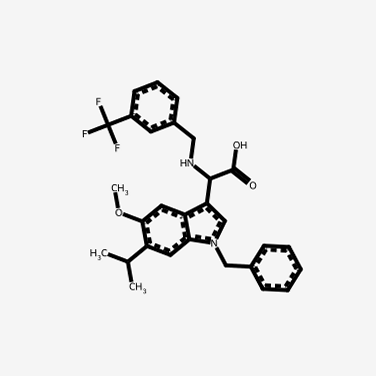 COc1cc2c(C(NCc3cccc(C(F)(F)F)c3)C(=O)O)cn(Cc3ccccc3)c2cc1C(C)C